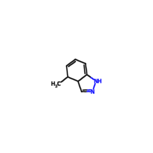 CC1C=CC=C2NN=CC21